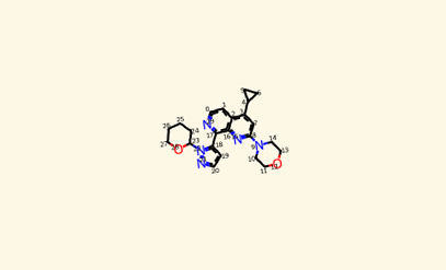 c1cc2c(C3CC3)cc(N3CCOCC3)nc2c(-c2ccnn2C2CCCCO2)n1